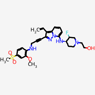 C=Cc1c(C#CCNc2ccc(S(C)(=O)=O)cc2OC)nn2c(N[C@@H]3CCN(CCO)C[C@@H]3F)cccc12